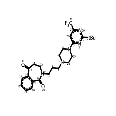 CC(C)(C)c1nc(N2CCN(CCCN3CCC(=O)c4ccccc4C3=O)CC2)cc(C(F)(F)F)n1